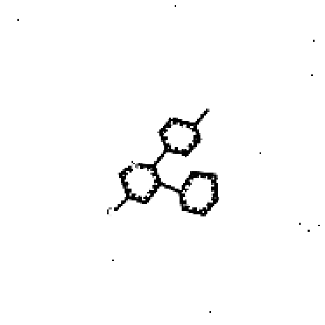 Cc1ccc(-c2ncc(Cl)cc2-c2ccccc2)cc1